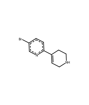 Brc1ccc(C2=CCNCC2)nc1